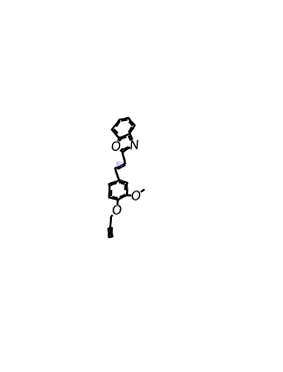 C#CCOc1ccc(/C=C/c2nc3ccccc3o2)cc1OC